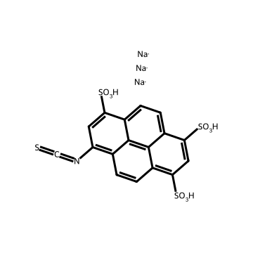 O=S(=O)(O)c1cc(N=C=S)c2ccc3c(S(=O)(=O)O)cc(S(=O)(=O)O)c4ccc1c2c34.[Na].[Na].[Na]